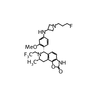 COc1cc(NC2CN(CCCF)C2)ccc1[C@@H]1c2ccc3[nH]c(=O)oc3c2C[C@@H](C)N1CC(F)(F)F